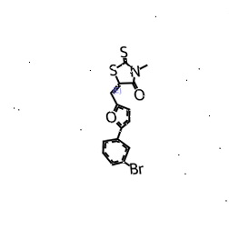 CN1C(=O)/C(=C\c2ccc(-c3cccc(Br)c3)o2)SC1=S